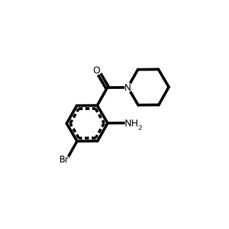 Nc1cc(Br)ccc1C(=O)N1CCCCC1